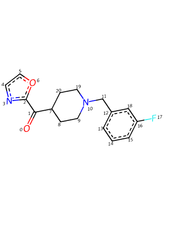 O=C(c1ncco1)C1CCN(Cc2cccc(F)c2)CC1